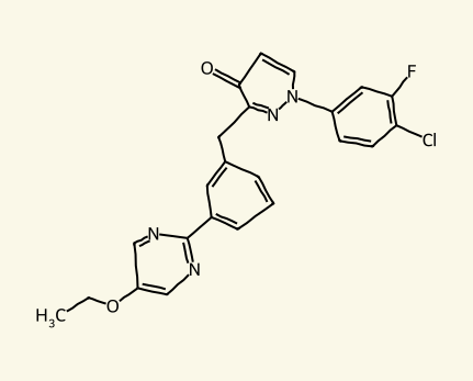 CCOc1cnc(-c2cccc(Cc3nn(-c4ccc(Cl)c(F)c4)ccc3=O)c2)nc1